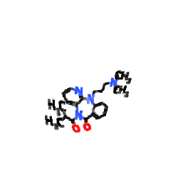 CC(C)C(=O)N1C(=O)c2ccccc2N(CCCN(C)C)c2ncccc21